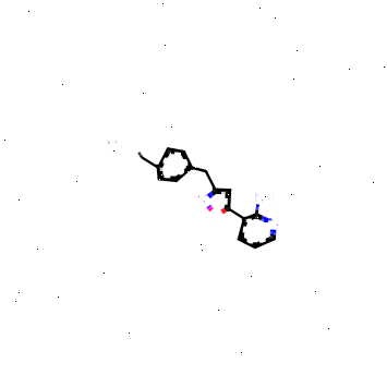 COCc1ccc(Cc2cc(-c3cccnc3N)on2)cc1